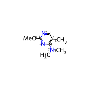 COc1ncc(C)c(N(C)C)n1